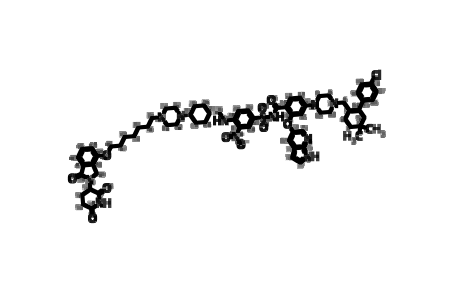 CC1(C)CCC(CN2CCN(c3ccc(C(=O)NS(=O)(=O)c4ccc(NC[C@H]5CC[C@H](N6CCN(CCCCCCCOc7cccc8c7CN(C7CCC(=O)NC7=O)C8=O)CC6)CC5)c([N+](=O)[O-])c4)c(Oc4cnc5[nH]ccc5c4)c3)CC2)=C(c2ccc(Cl)cc2)C1